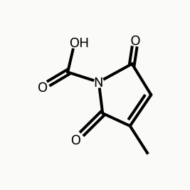 CC1=CC(=O)N(C(=O)O)C1=O